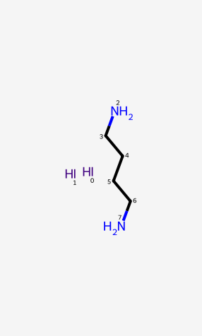 I.I.NCCCCN